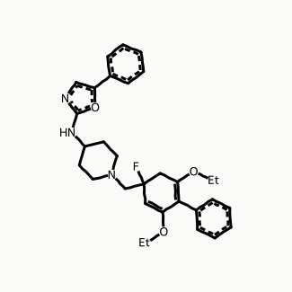 CCOC1=CC(F)(CN2CCC(Nc3ncc(-c4ccccc4)o3)CC2)CC(OCC)=C1c1ccccc1